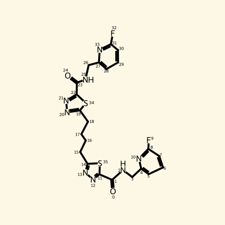 O=C(NCc1cccc(F)n1)c1nnc(CCCCc2nnc(C(=O)NCc3cccc(F)n3)s2)s1